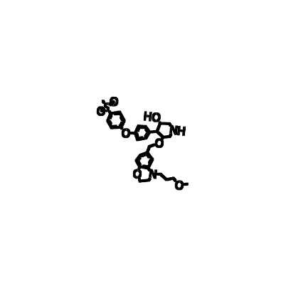 COCCCN1CCOc2ccc(COC3CNCC(O)C3c3ccc(Oc4ccc(S(C)(=O)=O)cc4)cc3)cc21